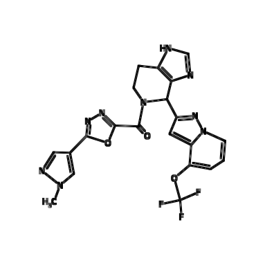 Cn1cc(-c2nnc(C(=O)N3CCc4[nH]cnc4C3c3cc4c(OC(F)(F)F)cccn4n3)o2)cn1